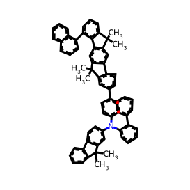 CC1(C)c2ccccc2-c2ccc(N(c3ccc(-c4ccc5c(c4)C(C)(C)c4cc6c(cc4-5)C(C)(C)c4cccc(-c5cccc7ccccc57)c4-6)cc3)c3ccccc3-c3ccccc3)cc21